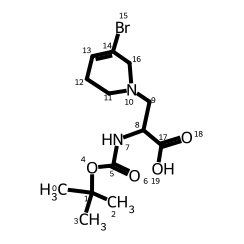 CC(C)(C)OC(=O)NC(CN1CCC=C(Br)C1)C(=O)O